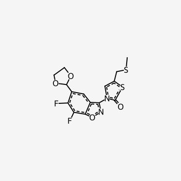 CSCc1cn(-c2noc3c(F)c(F)c(C4OCCO4)cc23)c(=O)s1